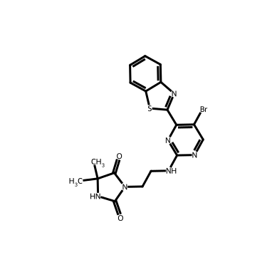 CC1(C)NC(=O)N(CCNc2ncc(Br)c(-c3nc4ccccc4s3)n2)C1=O